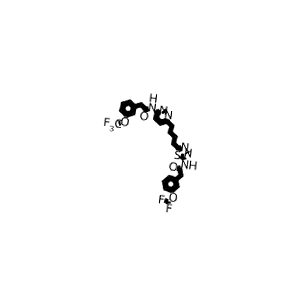 O=C(Cc1cccc(OC(F)(F)F)c1)Nc1ccc(CCCCc2nnc(NC(=O)Cc3cccc(OC(F)F)c3)s2)nn1